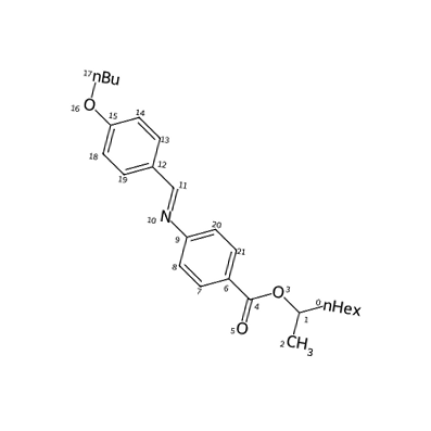 CCCCCCC(C)OC(=O)c1ccc(N=Cc2ccc(OCCCC)cc2)cc1